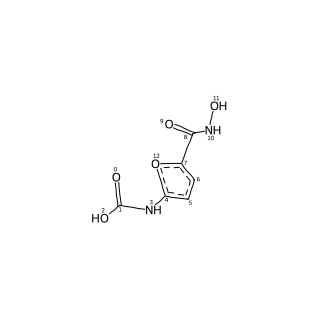 O=C(O)Nc1ccc(C(=O)NO)o1